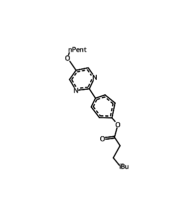 CCCCCOc1cnc(-c2ccc(OC(=O)CCC(C)CC)cc2)nc1